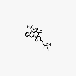 Cc1nc2c([nH]1)c(=O)n(CCCC[C@@H](C)O)c(=O)n2Cc1ccco1